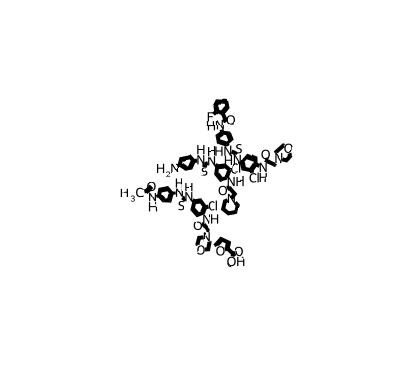 CC(=O)Nc1ccc(NC(=S)Nc2ccc(NC(=O)CN3CCOCC3)c(Cl)c2)cc1.Nc1ccc(NC(=S)Nc2ccc(NC(=O)CN3CCCCC3)c(Cl)c2)cc1.O=C(CN1CCOCC1)Nc1ccc(NC(=S)Nc2ccc(NC(=O)c3ccccc3F)cc2)cc1Cl.O=C(O)c1ccco1